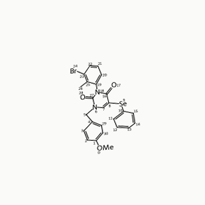 COc1ccc(Cn2cc([Se]c3ccccc3)c(=O)n(-c3cccc(Br)c3C)c2=O)cc1